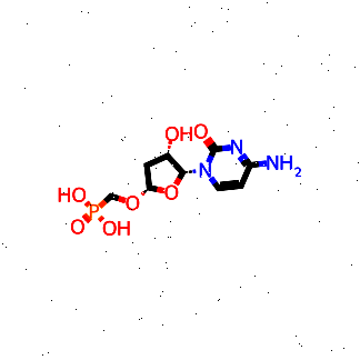 Nc1ccn([C@@H]2O[C@H](OCP(=O)(O)O)C[C@@H]2O)c(=O)n1